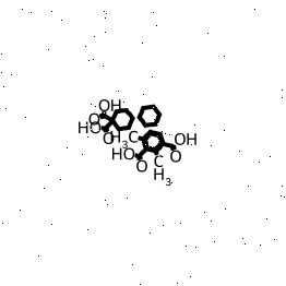 C1CCCCC1.Cc1ccc(C(=O)O)c(C)c1C(=O)O.O=C(O)C1(C(=O)O)CCCCC1